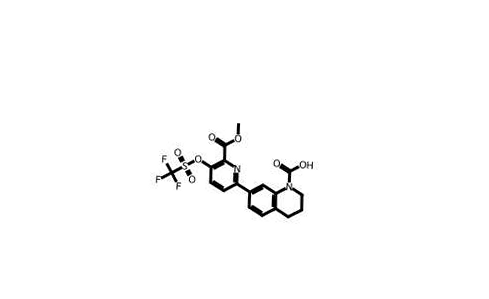 COC(=O)c1nc(-c2ccc3c(c2)N(C(=O)O)CCC3)ccc1OS(=O)(=O)C(F)(F)F